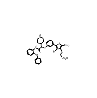 O=C(O)COc1c(C(=O)O)sc(-c2cccc(OC(C(=O)Nc3ccccc3Oc3ccccc3)C3CCNCC3)c2)c1Br